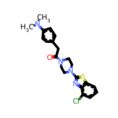 CN(C)c1ccc(CC(=O)N2CCN(c3nc4c(Cl)cccc4s3)CC2)cc1